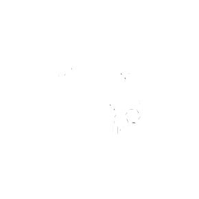 CC[N+](C)(C)C.O=C([O-])CCCCCCCNC(=O)c1cc(Cl)ccc1O